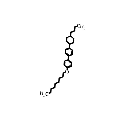 CCCCCCCCCOc1ccc(-c2ccc(C3CCC(CCCC)CC3)cc2)cc1